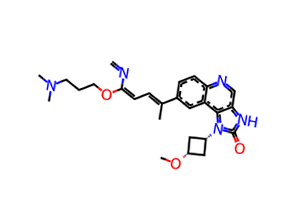 C=N/C(=C\C=C(/C)c1ccc2ncc3[nH]c(=O)n([C@H]4C[C@@H](OC)C4)c3c2c1)OCCCN(C)C